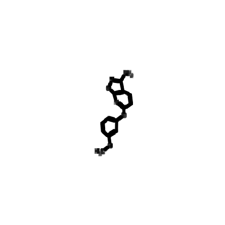 COc1cccc(Oc2ccc3c(N)noc3n2)c1